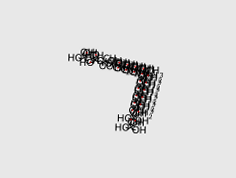 C=C(C)C(=O)O.C=C(C)C(=O)O.C=C(C)C(=O)O.C=C(C)C(=O)O.C=C(C)C(=O)O.C=C(C)C(=O)O.C=C(C)C(=O)O.C=C(C)C(=O)O.C=C(C)C(=O)O.C=C(C)C(=O)O.C=C(C)C(=O)OCC(CO)(CO)CO.OCC(CO)(CO)CO.OCC(CO)(CO)CO.OCC(CO)(CO)CO